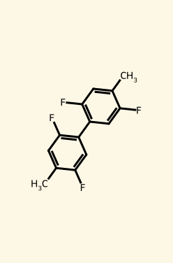 Cc1cc(F)c(-c2cc(F)c(C)cc2F)cc1F